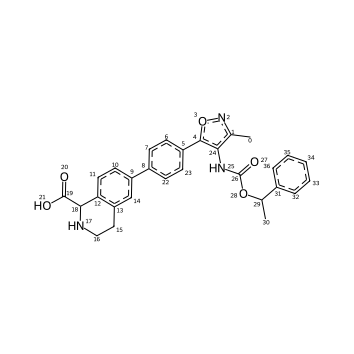 Cc1noc(-c2ccc(-c3ccc4c(c3)CCNC4C(=O)O)cc2)c1NC(=O)OC(C)c1ccccc1